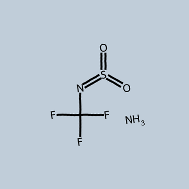 N.O=S(=O)=NC(F)(F)F